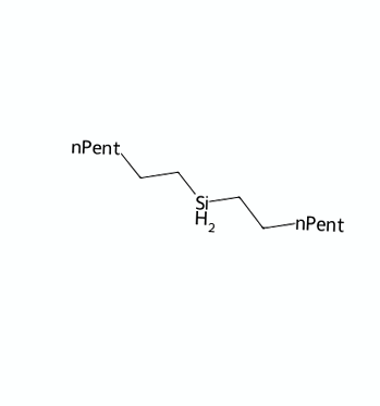 CCCCCCC[SiH2]CCCCCCC